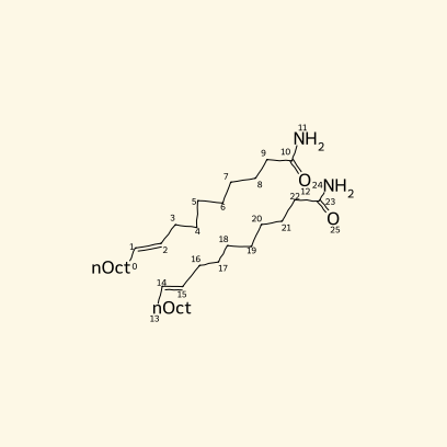 CCCCCCCCC=CCCCCCCCC(N)=O.CCCCCCCCC=CCCCCCCCC(N)=O